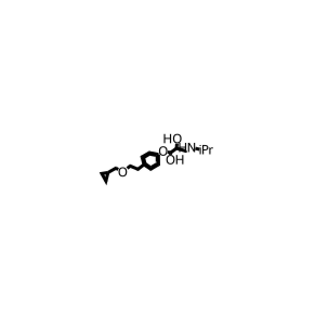 CC(C)NCC(O)C(O)Oc1ccc(CCOCC2CC2)cc1